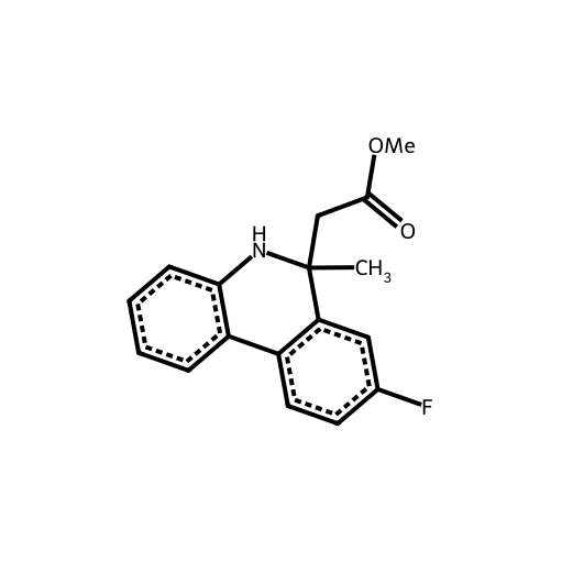 COC(=O)CC1(C)Nc2ccccc2-c2ccc(F)cc21